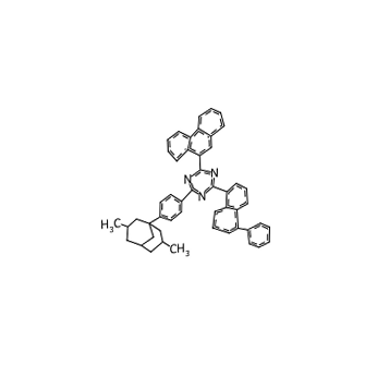 CC1CC2CC(C)CC(c3ccc(-c4nc(-c5cccc6c(-c7ccccc7)cccc56)nc(-c5cc6ccccc6c6ccccc56)n4)cc3)(C1)C2